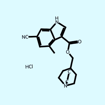 Cc1cc(C#N)cc2[nH]cc(C(=O)OCC34CCN(CC3)CC4)c12.Cl